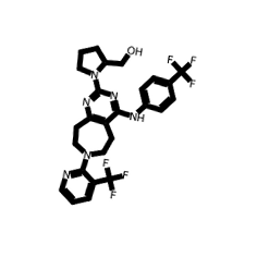 OCC1CCCN1c1nc2c(c(Nc3ccc(C(F)(F)F)cc3)n1)CCN(c1ncccc1C(F)(F)F)CC2